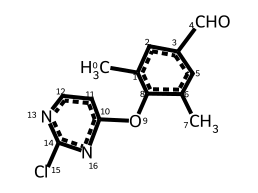 Cc1cc(C=O)cc(C)c1Oc1ccnc(Cl)n1